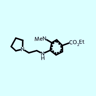 CCOC(=O)c1ccc(NCCN2CCCC2)c(NC)c1